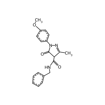 COc1ccc(N2N=C(C)C(C(=O)NCc3ccccc3)C2=O)cc1